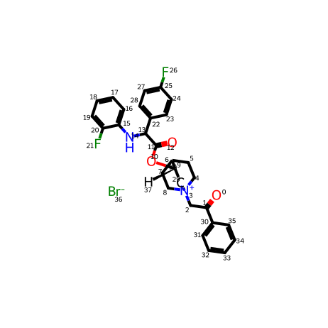 O=C(C[N+]12CCC(CC1)[C@@H](OC(=O)C(Nc1ccccc1F)c1ccc(F)cc1)C2)c1ccccc1.[Br-]